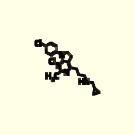 Cc1nc(CCCNCC2CC2)c2c(n1)N(c1ccc(Cl)cc1Cl)CC2